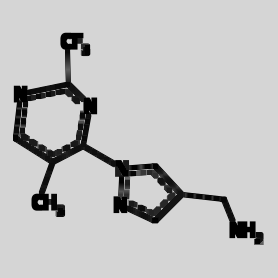 Cc1cnc(C(F)(F)F)nc1-n1cc(CN)cn1